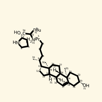 C1CCNC1.CC(C)CCC[C@@H](C)[C@H]1CC[C@H]2[C@@H]3CC=C4C[C@@H](O)CC[C@]4(C)[C@H]3CC[C@]12C.CCCCC(N)C(=O)O